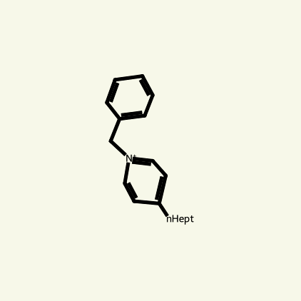 CCCCCCCc1cc[n+](Cc2ccccc2)cc1